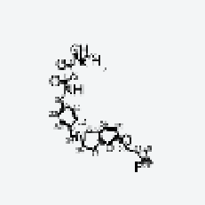 CN(C)C(=O)CC(=O)NCc1ccc(CN2CCc3cc(OCC4CC4(F)F)ccc3C2)cc1